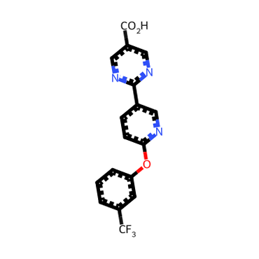 O=C(O)c1cnc(-c2ccc(Oc3cccc(C(F)(F)F)c3)nc2)nc1